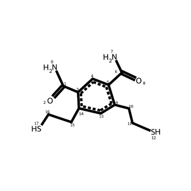 NC(=O)c1cc(C(N)=O)c(CCS)cc1CCS